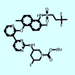 Cc1ccc2c(NS(=O)(=O)CCC(C)(F)F)c(F)ccc2c1Oc1ncccc1-c1ccnc(NC2CC(F)CN(C(=O)OC(C)(C)C)C2)n1